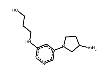 OCCCNc1cc(N2CCC([AsH2])C2)cnn1